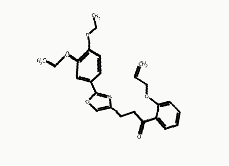 C=CCOc1ccccc1C(=O)CCc1coc(-c2ccc(OCC)c(OCC)c2)n1